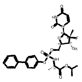 CC(C)OC(=O)[C@H](C)NP(=O)(OC[C@H]1O[C@@H](n2ccc(=O)[nH]c2=O)[C@](C)(F)[C@@H]1O)Oc1ccc(-c2ccccc2)cc1